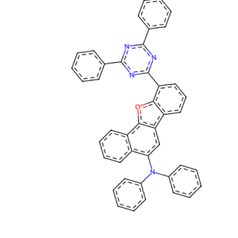 c1ccc(-c2nc(-c3ccccc3)nc(-c3cccc4c3oc3c5ccccc5c(N(c5ccccc5)c5ccccc5)cc43)n2)cc1